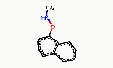 CC(=O)ONOc1cccc2ccccc12